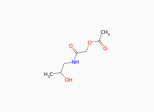 CC(=O)OCC(=O)NCC(C)O